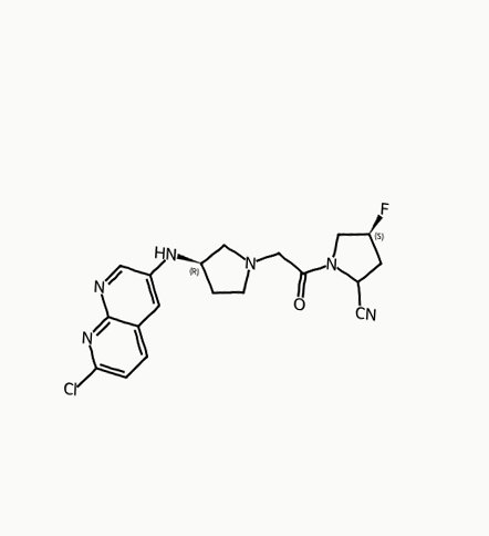 N#CC1C[C@H](F)CN1C(=O)CN1CC[C@@H](Nc2cnc3nc(Cl)ccc3c2)C1